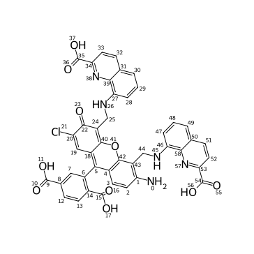 Nc1ccc2c(-c3cc(C(=O)O)ccc3C(=O)O)c3cc(Cl)c(=O)c(CNc4cccc5ccc(C(=O)O)nc45)c-3oc2c1CNc1cccc2ccc(C(=O)O)nc12